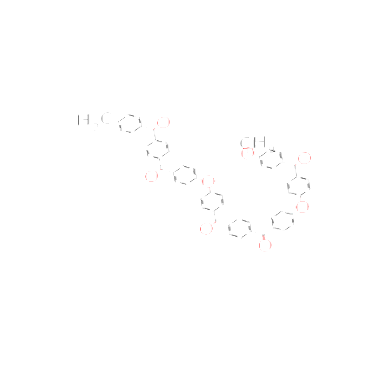 COc1ccc(C(=O)c2ccc(Oc3ccc(C(=O)c4ccc(C(=O)c5ccc(Oc6ccc(C(=O)c7ccc(C(=O)c8ccc(C)cc8)cc7)cc6)cc5)cc4)cc3)cc2)cc1